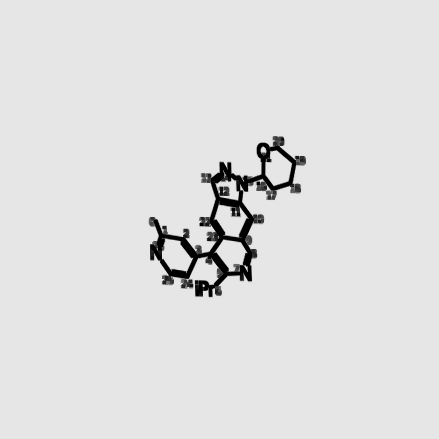 Cc1cc(-c2c(C(C)C)ncc3cc4c(cnn4C4CCCCO4)cc23)ccn1